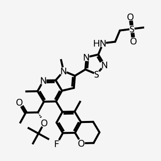 CC(=O)[C@@H](OC(C)(C)C)c1c(C)nc2c(cc(-c3nc(NCCS(C)(=O)=O)ns3)n2C)c1-c1cc(F)c2c(c1C)CCCO2